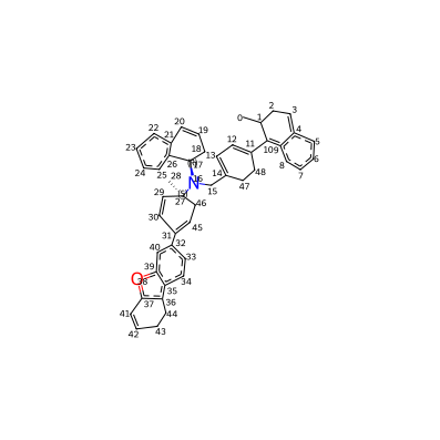 CC1CC=c2ccccc2=C1C1=CC=C(CN([C@@H]2CC=Cc3ccccc32)[C@]2(C)C=CC(c3ccc4c5c(oc4c3)C=CCC5)=CC2)CC1